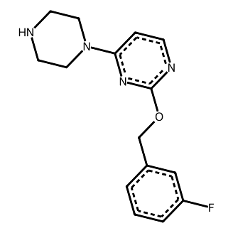 Fc1cccc(COc2nccc(N3CCNCC3)n2)c1